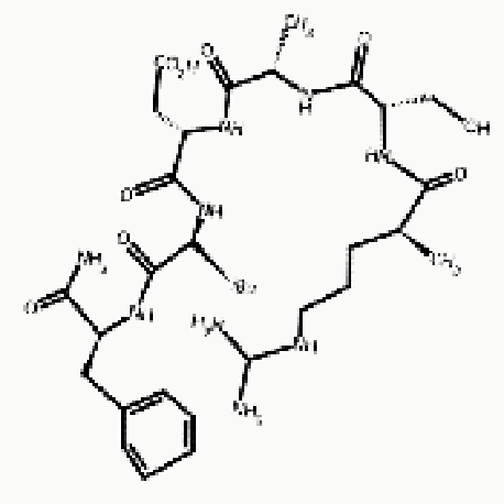 CC[C@H](C)[C@H](NC(=O)[C@H](CC(=O)O)NC(=O)[C@H](C)NC(=O)[C@H](CO)NC(=O)[C@@H](C)CCCNC(N)N)C(=O)N[C@@H](Cc1ccccc1)C(N)=O